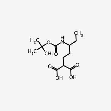 CCC(CCC(C(=O)O)C(=O)O)NC(=O)OC(C)(C)C